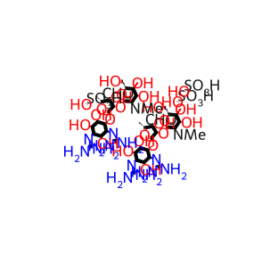 CN[C@H]1[C@@H](O[C@@H]2[C@@H](O[C@H]3[C@H](O)[C@@H](O)[C@H](N=C(N)N)[C@@H](O)[C@@H]3N=C(N)N)O[C@H](C)[C@@]2(O)C=O)O[C@H](CO)[C@@H](O)[C@@H]1O.CN[C@H]1[C@@H](O[C@@H]2[C@@H](O[C@H]3[C@H](O)[C@@H](O)[C@H](N=C(N)N)[C@@H](O)[C@@H]3N=C(N)N)O[C@H](C)[C@@]2(O)C=O)O[C@H](CO)[C@@H](O)[C@@H]1O.O=S(=O)(O)O.O=S(=O)(O)O.O=S(=O)(O)O